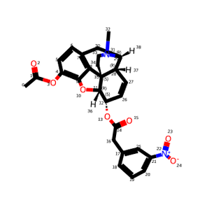 CC(=O)Oc1ccc2c3c1O[C@H]1[C@@H](OC(=O)Cc4cccc([N+](=O)[O-])c4)C=C[C@H]4[C@@H](C2)N(C)CC[C@@]341